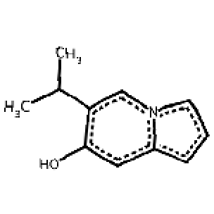 CC(C)c1cn2cccc2cc1O